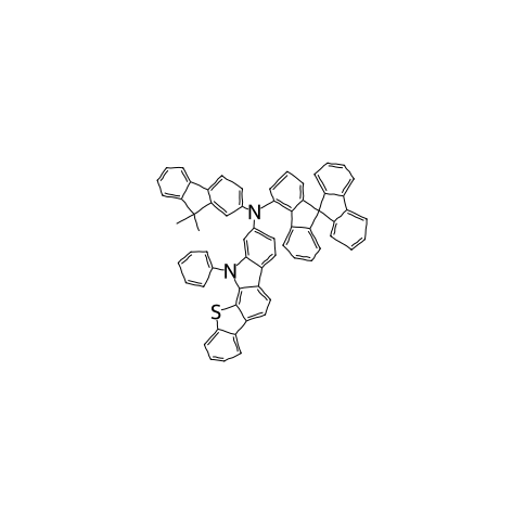 CC1(C)c2ccccc2-c2ccc(N(c3ccc4c5ccc6c7ccccc7sc6c5n(-c5ccccc5)c4c3)c3cccc4c3-c3ccccc3C43c4ccccc4-c4ccccc43)cc21